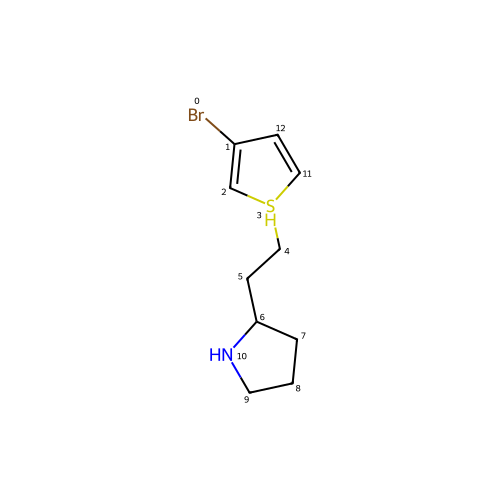 BrC1=C[SH](CCC2CCCN2)C=C1